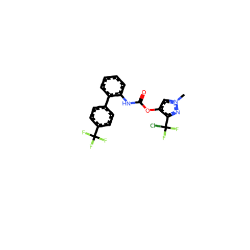 Cn1cc(OC(=O)Nc2ccccc2-c2ccc(C(F)(F)F)cc2)c(C(F)(F)Cl)n1